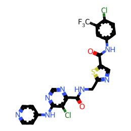 O=C(Nc1ccc(Cl)c(C(F)(F)F)c1)c1cnc(CNC(=O)c2ncnc(Nc3ccncc3)c2Cl)s1